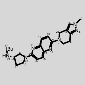 Cn1cc2c(n1)CCN(c1ccc3nc(N4CC[C@H](NC(C)(C)C)C4)ccc3n1)C2